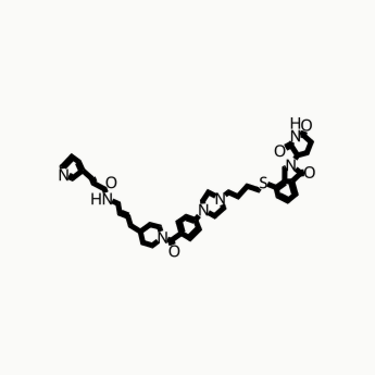 O=C(/C=C/c1cccnc1)NC/C=C/CC1CCN(C(=O)c2ccc(N3CCN(CCCCSc4cccc5c4CN(C4CCC(=O)NC4=O)C5=O)CC3)cc2)CC1